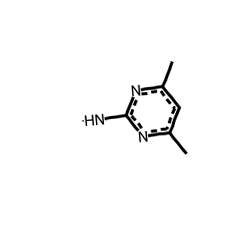 Cc1cc(C)nc([NH])n1